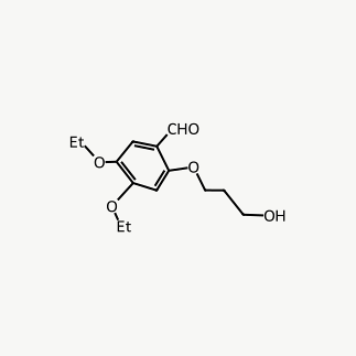 CCOc1cc(C=O)c(OCCCO)cc1OCC